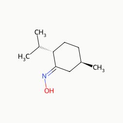 CC(C)[C@@H]1CC[C@@H](C)CC1=NO